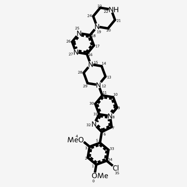 COc1cc(OC)c(-c2cn3ccc(N4CCN(c5cc(N6CCNCC6)ncn5)CC4)cc3n2)cc1Cl